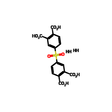 O=C(O)c1ccc(S(=O)(=O)c2ccc(C(=O)O)c(C(=O)O)c2)cc1C(=O)O.[HH].[HH]